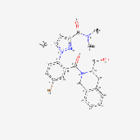 CCCCN(CCCC)C(=O)c1cc(C)n(-c2ccc(Br)cc2C(=O)N2Cc3ccccc3CC2CO)n1